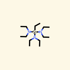 CC[N](CC)[Sn]([CH2]C)([N](CC)CC)[N](CC)CC